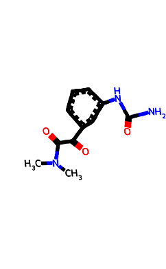 CN(C)C(=O)C(=O)c1cccc(NC(N)=O)c1